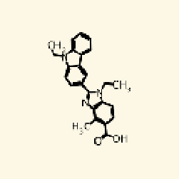 CCn1c(-c2ccc3c(c2)c2ccccc2n3CC)nc2c(C)c(C(=O)O)ccc21